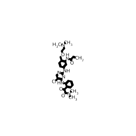 C=CC(=O)Nc1cc(Nc2ncc(Cl)c(Nc3ccccc3C(=O)C(=O)N(C)C)n2)ccc1COCCN(C)C